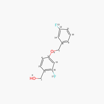 OCc1ccc(OCc2cccc(F)c2)cc1F